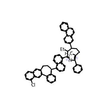 CCC1/C(c2cccc3c(C4CCc5cc6cccc(Cl)c6cc5-c5ccccc54)cccc23)=N\C(c2ccccc2)=C(/C)CCC1c1ccc2c(ccc3ccccc32)c1